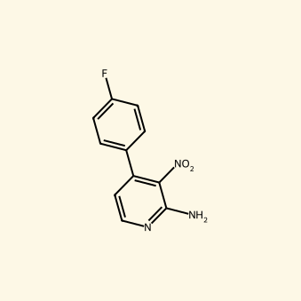 Nc1nccc(-c2ccc(F)cc2)c1[N+](=O)[O-]